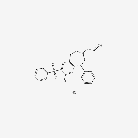 C=CCN1CCc2cc(S(=O)(=O)c3ccccc3)c(O)cc2C(c2ccccc2)C1.Cl